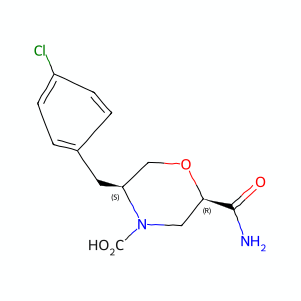 NC(=O)[C@H]1CN(C(=O)O)[C@@H](Cc2ccc(Cl)cc2)CO1